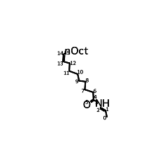 CC=CNC(=O)CCCCCCC/C=C\CCCCCCCC